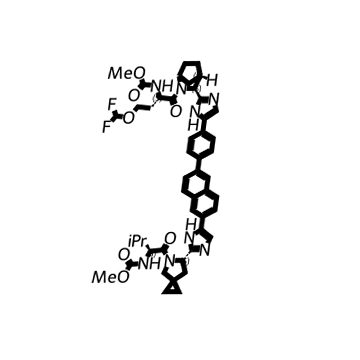 COC(=O)N[C@@H](CCOC(F)F)C(=O)N1C2CC[C@@H](C2)[C@H]1c1ncc(-c2ccc(-c3ccc4cc(-c5cnc([C@@H]6CC7(CC7)CN6C(=O)[C@@H](NC(=O)OC)C(C)C)[nH]5)ccc4c3)cc2)[nH]1